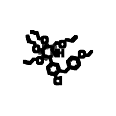 C=CCOC[C@H]1NC(c2ccc(Cl)c(Cc3ccc(OCC)cc3)c2)[C@H](OCC=C)[C@@H](OCC=C)[C@@H]1OCC=C